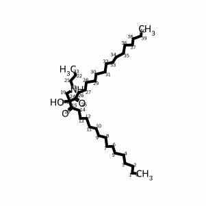 CCCCCCCCCCCCCCCC(=O)C(O)(CNCCC)C(=O)CCCCCCCCCCCCCCC